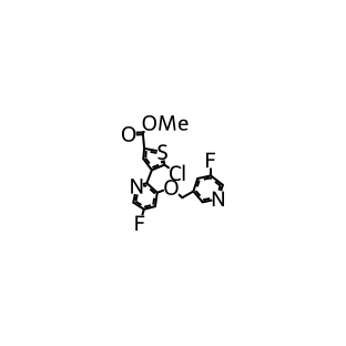 COC(=O)c1cc(-c2ncc(F)cc2OCc2cncc(F)c2)c(Cl)s1